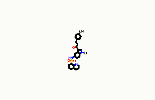 CCn1cc(C(=O)CCc2ccc(C#N)cc2)c2cc(NS(=O)(=O)c3cccc4cccnc34)ccc21